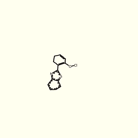 ClOC1=C(c2nc3ccccc3s2)CCC=C1